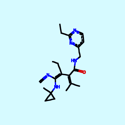 C=N/C(NC1(C)CC1)=C(\CC)C(C(=O)NCc1ccnc(CC)n1)=C(C)C